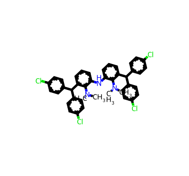 CN(C)c1c(Nc2cccc(C(c3ccc(Cl)cc3)c3ccc(Cl)cc3)c2N(C)C)cccc1C(c1ccc(Cl)cc1)c1ccc(Cl)cc1